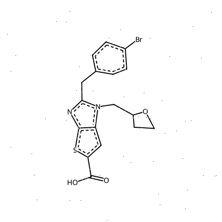 O=C(O)c1cc2c(nc(Cc3ccc(Br)cc3)n2CC2CCO2)s1